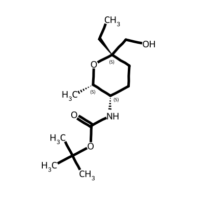 CC[C@@]1(CO)CC[C@H](NC(=O)OC(C)(C)C)[C@H](C)O1